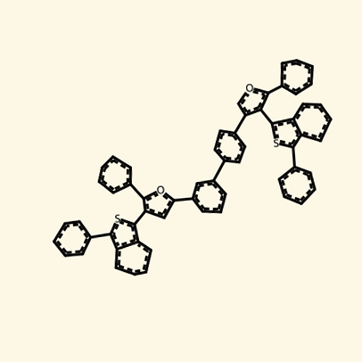 c1ccc(-c2oc(-c3cccc(-c4ccc(-c5coc(-c6ccccc6)c5-c5sc(-c6ccccc6)c6ccccc56)cc4)c3)cc2-c2sc(-c3ccccc3)c3ccccc23)cc1